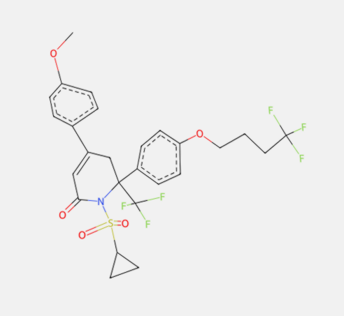 COc1ccc(C2=CC(=O)N(S(=O)(=O)C3CC3)C(c3ccc(OCCCC(F)(F)F)cc3)(C(F)(F)F)C2)cc1